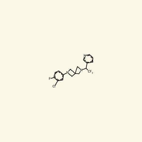 Fc1ccc(N2CC3(C2)CN(C(c2cccnc2)C(F)(F)F)C3)cc1Cl